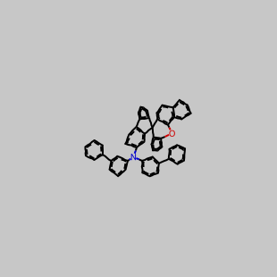 c1ccc(-c2cccc(N(c3cccc(-c4ccccc4)c3)c3ccc4c(c3)C3(c5ccccc5Oc5c3ccc3ccccc53)c3ccccc3-4)c2)cc1